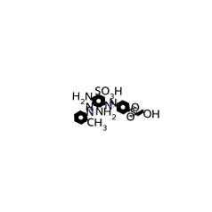 Cc1ccccc1/N=N/c1c(N)c(/N=N/c2ccc(S(=O)(=O)CCO)cc2)cc(S(=O)(=O)O)c1N